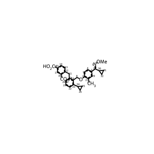 CON=C(c1ccc(OCc2c(Cc3ccc(C(=O)O)cc3C(=O)O)cccc2C2CC2)c(C)c1)C1CC1